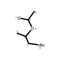 CCCCCC(C)OC(C)[O]